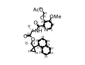 COc1ccnc(C(=O)N[C@@H](C)C(=O)O[C@@H](C)C2(c3cccc4ccccc34)CC2)c1OCOC(C)=O